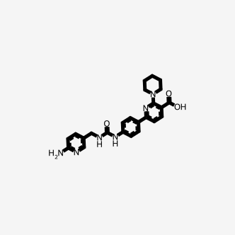 Nc1ccc(CNC(=O)Nc2ccc(-c3ccc(C(=O)O)c(N4CCCCC4)n3)cc2)cn1